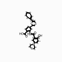 O=C(Nc1cc(C2=COC=C(C3=CC=CCC3)O2)ccc1C(=O)O)c1cc(N2CCOCC2)ccc1O